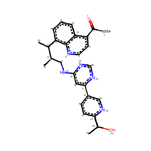 CNC(=O)c1ccnc2c(C(C)[C@H](C)CNc3cc(-c4ccc(C(C)O)nc4)ncn3)cccc12